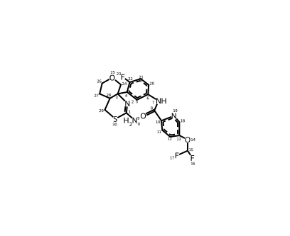 NC1=NC2(c3cc(NC(=O)c4ccc(OC(F)F)cn4)ccc3F)COCCC2CS1